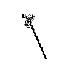 CCCCCCCCCCCCCCCCCCCC(COP(=O)(O)CCN(C)C)OC(C)=O